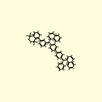 CC1(C)CCC(C)(C)c2c(-c3cccc(N(c4ccc(-c5ccc(N(c6ccccc6)c6cccc7ccccc67)cc5)cc4)c4cccc5ccccc45)c3)cccc21